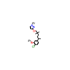 CC(C)Oc1cc(C(C)CCC(C)(C)COc2ccn(C(C)C)n2)ccc1Cl